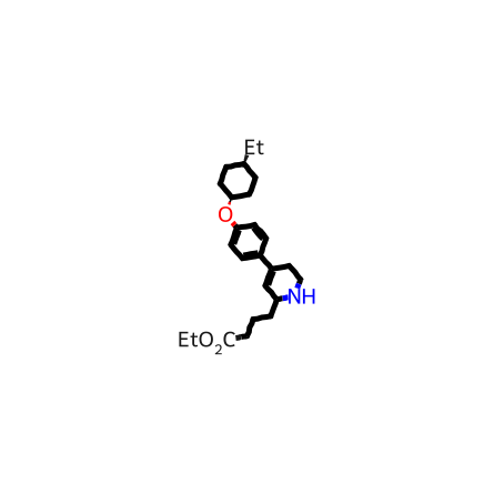 CCOC(=O)CCCC1C=C(c2ccc(O[C@H]3CC[C@H](CC)CC3)cc2)CCN1